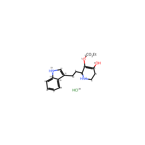 CCOC(=O)OC1=C(O)CCNC1CCc1c[nH]c2ccccc12.Cl